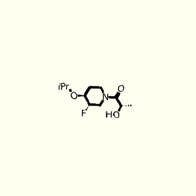 CC(C)O[C@H]1CCN(C(=O)[C@H](C)O)C[C@@H]1F